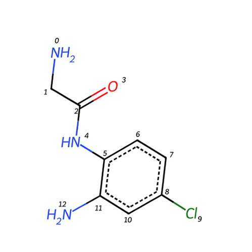 NCC(=O)Nc1ccc(Cl)cc1N